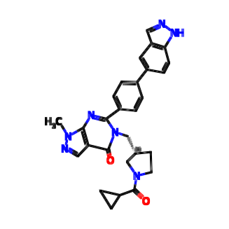 Cn1ncc2c(=O)n(C[C@@H]3CCN(C(=O)C4CC4)C3)c(-c3ccc(-c4ccc5[nH]ncc5c4)cc3)nc21